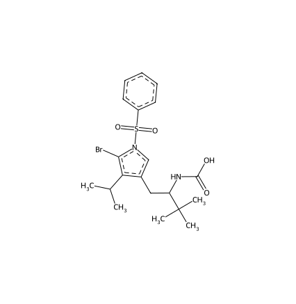 CC(C)c1c(CC(NC(=O)O)C(C)(C)C)cn(S(=O)(=O)c2ccccc2)c1Br